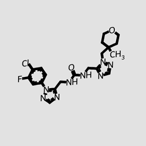 CC1(Cn2ncnc2CNC(=O)NCc2ncnn2-c2ccc(Cl)c(F)c2)CCOCC1